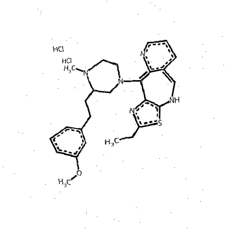 CCc1nc2c(s1)NC=c1cccnc1=C2N1CCN(C)C(CCc2cccc(OC)c2)C1.Cl.Cl